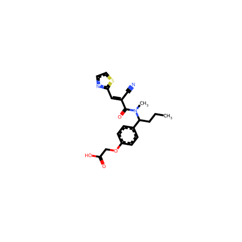 CCCC(c1ccc(OCC(=O)O)cc1)N(C)C(=O)C(C#N)=Cc1nccs1